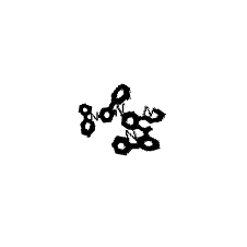 CC1c2c(-c3ccccn3)cc(-n3c4ccccc4c4cc(-n5c6ccccc6c6ccccc65)ccc43)cc2-n2c3ccccc3c3cccc1c32